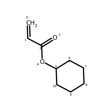 C=CC(=O)OC1[CH]CCCC1